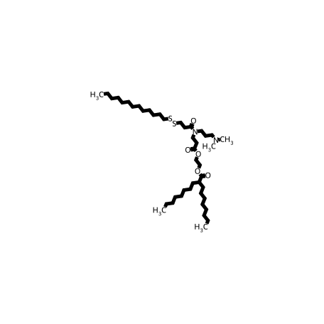 CCCCCCCCCCCCCSSCCC(=O)N(CCCN(C)C)CCC(=O)OCCOC(=O)C(CCCCCCCC)CCCCCCCC